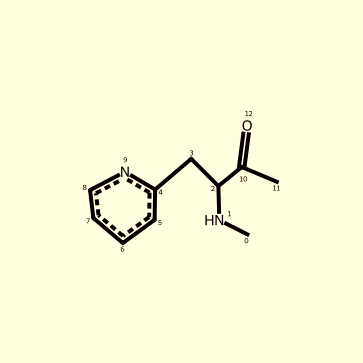 CNC(Cc1ccccn1)C(C)=O